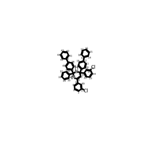 Clc1cccc(C2=CC(c3ccc(-c4ccccc4)cc3)(c3cccc(Cl)c3)NC(c3ccccc3)(c3ccc(-c4ccccc4)cc3)N2)c1